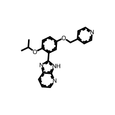 CC(C)Oc1ccc(OCc2ccncc2)cc1-c1nc2cccnc2[nH]1